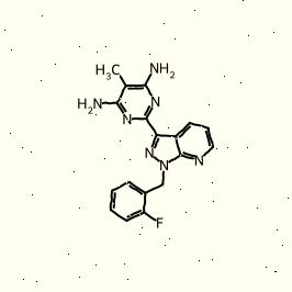 Cc1c(N)nc(-c2nn(Cc3ccccc3F)c3ncccc23)nc1N